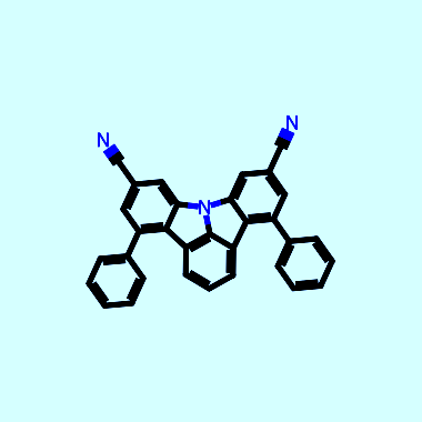 N#Cc1cc(-c2ccccc2)c2c3cccc4c5c(-c6ccccc6)cc(C#N)cc5n(c2c1)c34